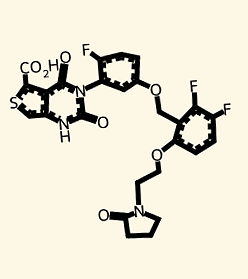 O=C(O)c1scc2[nH]c(=O)n(-c3cc(OCc4c(OCCN5CCCC5=O)ccc(F)c4F)ccc3F)c(=O)c12